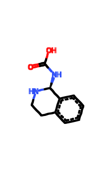 O=C(O)N[C@@H]1NCCc2ccccc21